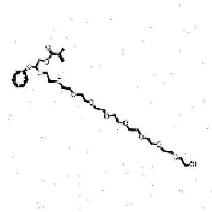 C=C(C)C(=O)OCC(OCCOCCOCCOCCOCCOCCOCCOCCOCCO)Oc1ccccc1